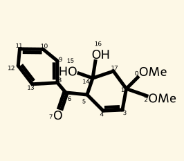 COC1(OC)C=CC(C(=O)c2ccccc2)C(O)(O)C1